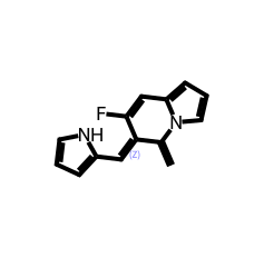 C=c1/c(=C/c2ccc[nH]2)c(F)cc2cccn12